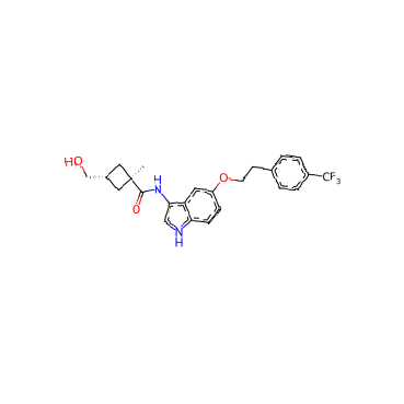 C[C@]1(C(=O)Nc2c[nH]c3ccc(OCCc4ccc(C(F)(F)F)cc4)cc23)C[C@H](CO)C1